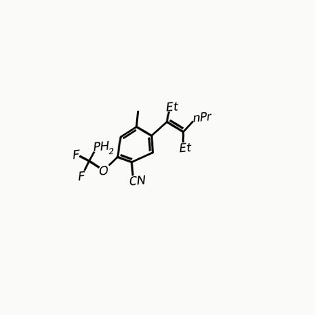 CCC/C(CC)=C(\CC)c1cc(C#N)c(OC(F)(F)P)cc1C